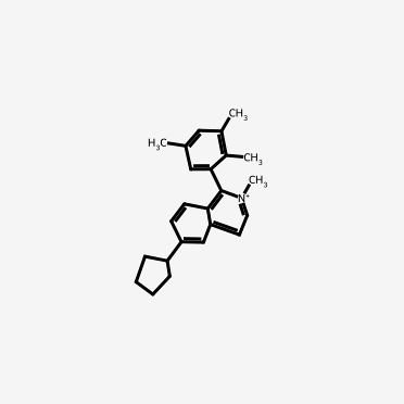 Cc1cc(C)c(C)c(-c2c3ccc(C4CCCC4)cc3cc[n+]2C)c1